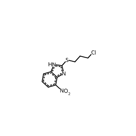 O=[N+]([O-])c1cccc2[nH]c(SCCCCl)nc12